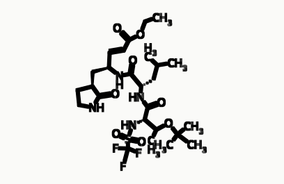 CCOC(=O)/C=C/[C@H](C[C@@H]1CCNC1=O)NC(=O)[C@H](CC(C)C)NC(=O)[C@@H](NS(=O)(=O)C(F)(F)F)C(C)OC(C)(C)C